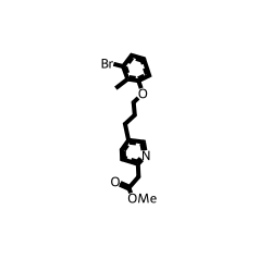 COC(=O)Cc1ccc(CCCOc2cccc(Br)c2C)cn1